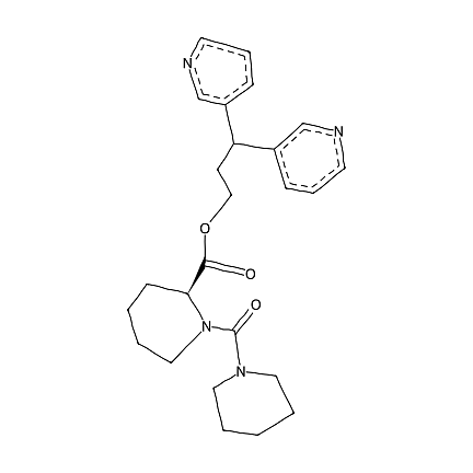 O=C(OCCC(c1cccnc1)c1cccnc1)[C@@H]1CCCCN1C(=O)N1CCCCC1